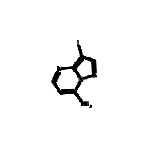 Nc1ccnc2c(I)cnn12